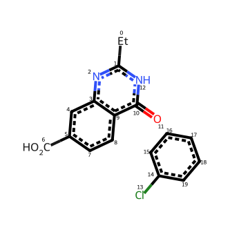 CCc1nc2cc(C(=O)O)ccc2c(=O)[nH]1.Clc1ccccc1